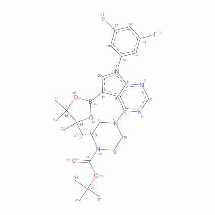 C[C@@H]1CN(c2ncnc3c2c(B2OC(C)(C)C(C)(C)O2)cn3-c2cc(F)cc(F)c2)CCN1C(=O)OC(C)(C)C